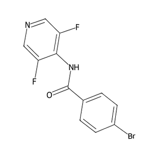 O=C(Nc1c(F)cncc1F)c1ccc(Br)cc1